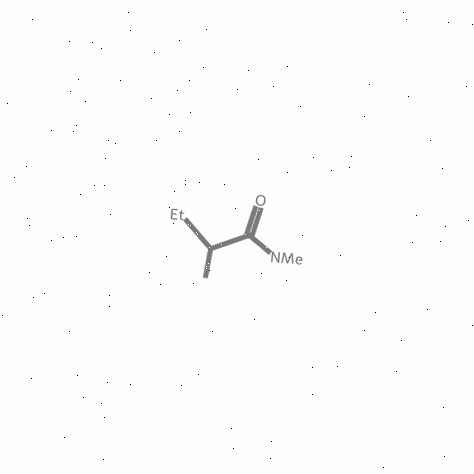 [CH2]CC(C)C(=O)NC